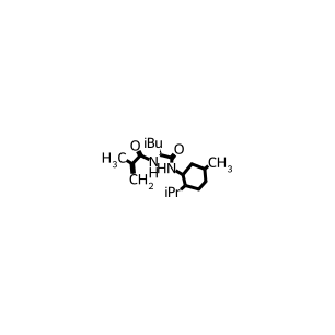 C=C(C)C(=O)N[C@H](C(=O)NC1CC(C)CCC1C(C)C)[C@@H](C)CC